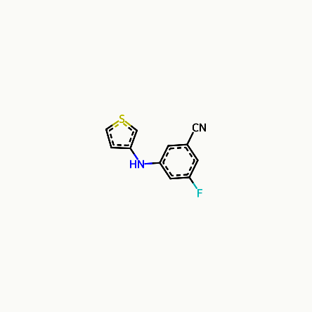 N#Cc1cc(F)cc(Nc2ccsc2)c1